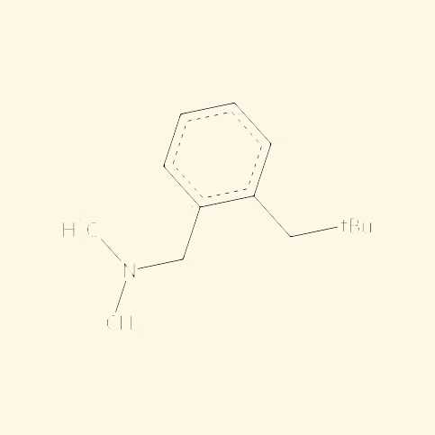 CN(C)Cc1ccccc1CC(C)(C)C